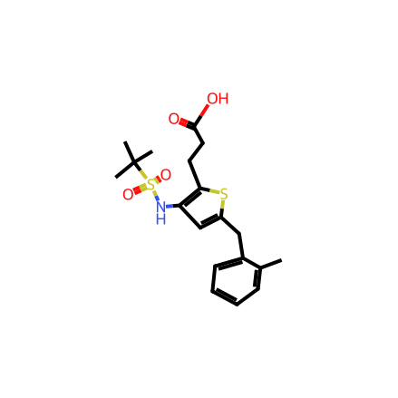 Cc1ccccc1Cc1cc(NS(=O)(=O)C(C)(C)C)c(CCC(=O)O)s1